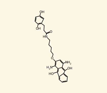 Nc1cc(OCCCCCNC(=O)CCc2cc(O)ccc2O)c(N)c2c(O)c3ccccc3c(O)c12